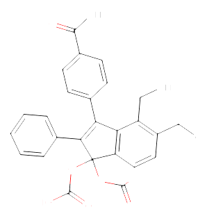 CCc1ccc2c(c1CC)C(c1ccc(C(C)=O)cc1)=C(c1ccccc1)C2(OC(=O)O)OC(=O)O